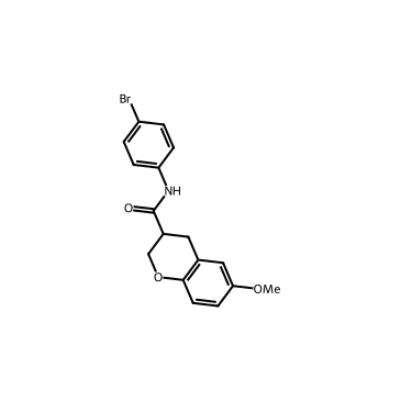 COc1ccc2c(c1)CC(C(=O)Nc1ccc(Br)cc1)CO2